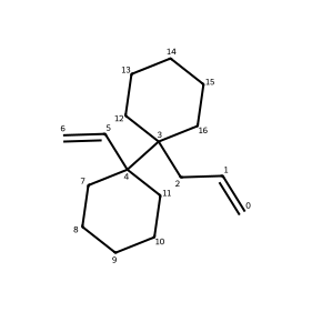 C=CCC1(C2(C=C)CCCCC2)CCCCC1